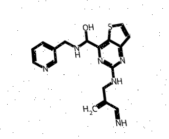 C=C(C=N)CNc1nc(C(O)NCc2cccnc2)c2sccc2n1